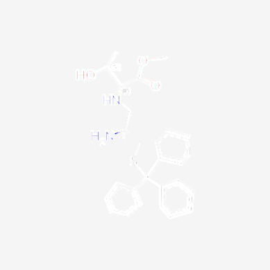 COC(=O)[C@H](NC[C@H](N)CSC(c1ccccc1)(c1ccccc1)c1ccccc1)[C@@H](C)O